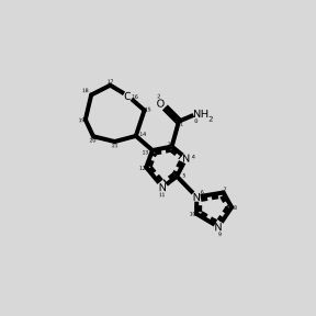 NC(=O)c1nc(-n2ccnc2)ncc1C1CCCCCCC1